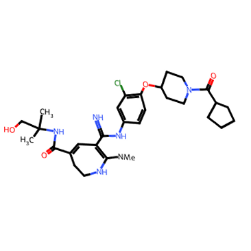 CNC1=C(C(=N)Nc2ccc(OC3CCN(C(=O)C4CCCC4)CC3)c(Cl)c2)C=C(C(=O)NC(C)(C)CO)CCN1